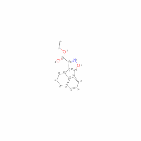 CCOC(=O)c1noc2c1C1CCCc3cccc-2c31